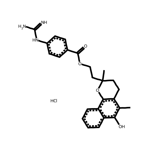 Cc1c2c(c3ccccc3c1O)OC(C)(CCOC(=O)c1ccc(NC(=N)N)cc1)CC2.Cl